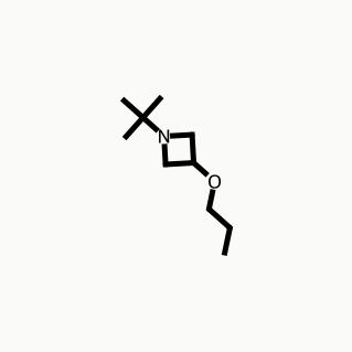 CCCOC1CN(C(C)(C)C)C1